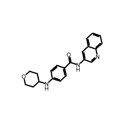 O=C(Nc1cnc2ccccc2c1)c1ccc(NC2CCOCC2)cc1